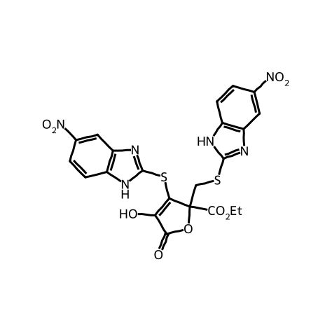 CCOC(=O)C1(CSc2nc3cc([N+](=O)[O-])ccc3[nH]2)OC(=O)C(O)=C1Sc1nc2cc([N+](=O)[O-])ccc2[nH]1